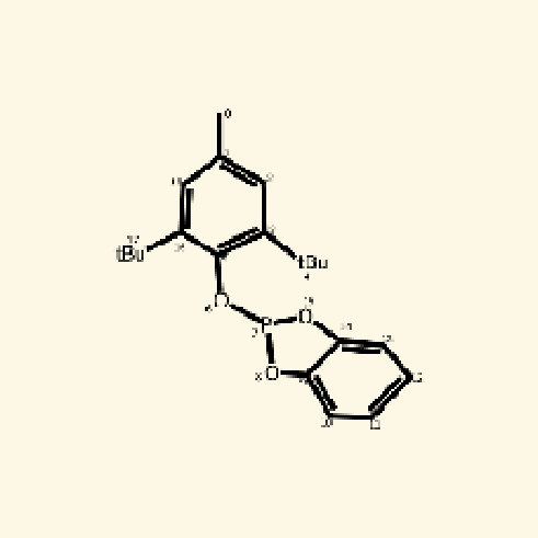 Cc1cc(C(C)(C)C)c(OP2Oc3ccccc3O2)c(C(C)(C)C)c1